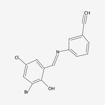 C#Cc1cccc(/N=C/c2cc(Cl)cc(Br)c2O)c1